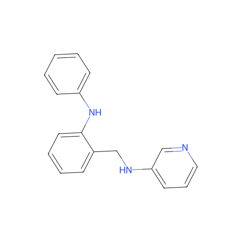 c1ccc(Nc2ccccc2CNc2cccnc2)cc1